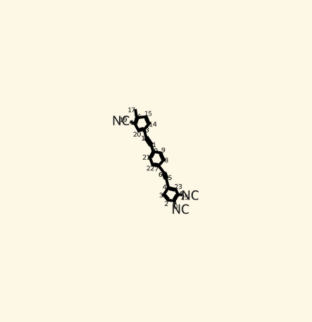 [C-]#[N+]c1ccc(C#Cc2ccc(C#Cc3ccc(C)c(C#N)c3)cc2)cc1[N+]#[C-]